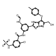 Cc1ccc(Oc2c(CO)nn3nc(-c4cc(NC=O)cc(NC(=O)c5cc(NS(C)(=O)=O)ccc5Cl)c4)[nH]c23)cc1